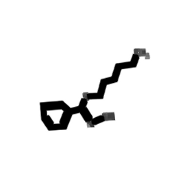 CCCCCCSC(=NO)c1ccccc1